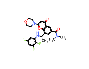 C[C@H](Nc1cc(F)cc(F)c1F)c1cc(C(=O)N(C)C)cc2c(=O)cc(N3CCOCC3)oc12